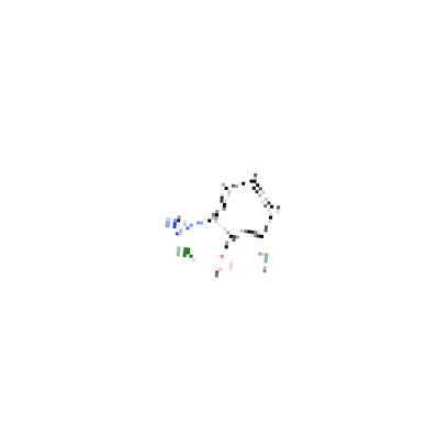 Cl.Cl.Nc1ccccc1O